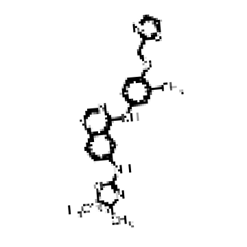 Cc1cc(Nc2ncnc3ccc(NC4=N[C@@H](C)[C@H](C)O4)cc23)ccc1OCc1nccs1